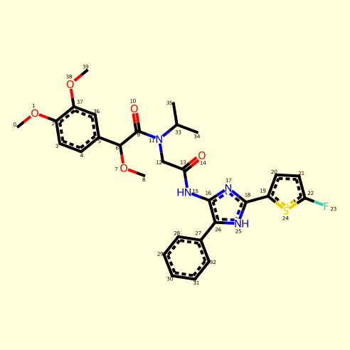 COc1ccc(C(OC)C(=O)N(CC(=O)Nc2nc(-c3ccc(F)s3)[nH]c2-c2ccccc2)C(C)C)cc1OC